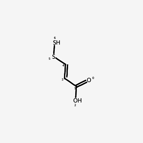 O=C(O)C=CSS